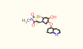 CN1C(=O)S/C(=C\c2cc(Oc3cccc4ncccc34)c(O)cc2Br)C1=O